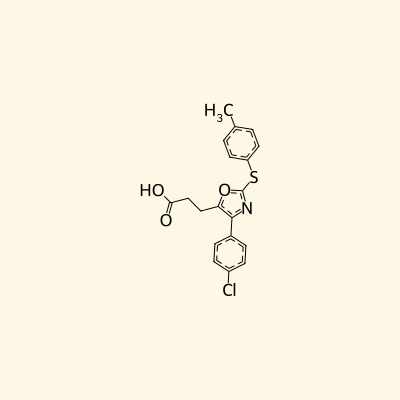 Cc1ccc(Sc2nc(-c3ccc(Cl)cc3)c(CCC(=O)O)o2)cc1